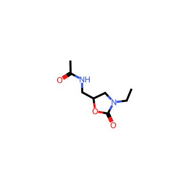 CCN1CC(CNC(C)=O)OC1=O